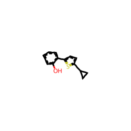 Oc1ccccc1-c1ccc(C2CC2)s1